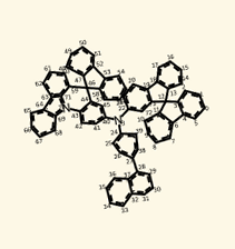 c1ccc2c(c1)-c1ccccc1C21c2ccccc2-c2ccc(N(c3ccc(-c4cccc5ccccc45)cc3)c3ccc4c(c3)C3(c5ccccc5-c5ccccc53)c3cccc5c6ccccc6n-4c35)cc21